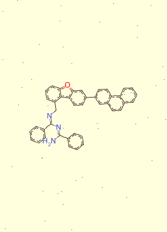 N/C(=N\C(=N/Cc1cccc2oc3cc(-c4ccc5c(ccc6ccccc65)c4)ccc3c12)c1ccccc1)c1ccccc1